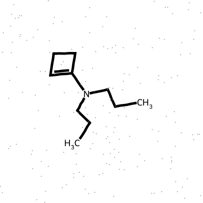 CCCN(CCC)C1=CCC1